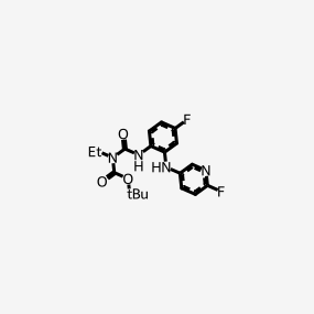 CCN(C(=O)Nc1ccc(F)cc1Nc1ccc(F)nc1)C(=O)OC(C)(C)C